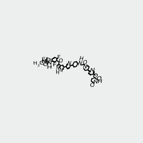 CCN(C)S(=O)(=O)Nc1ccc(F)c(C(=O)c2c[nH]c3ncc(-c4ccc(C5CCC(NCC(=O)N6CCC(c7ccc(OC8CCC(=O)NC8=O)cn7)CC6)CC5)nc4)cc23)c1F